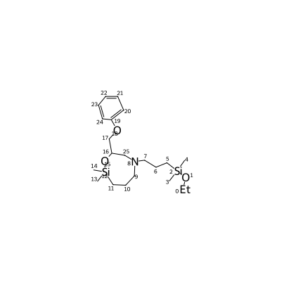 CCO[Si](C)(C)CCCN1CCC[Si](C)(C)OC(COc2ccccc2)C1